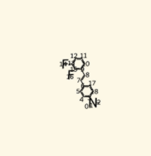 CN(C)c1ccc(C=Cc2cccc(F)c2F)cc1